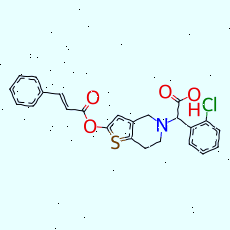 O=C(C=Cc1ccccc1)Oc1cc2c(s1)CCN(C(C(=O)O)c1ccccc1Cl)C2